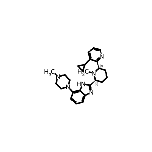 CN1CCN(c2cccc3nc([C@@H]4CCC[C@H](c5ncccc5C5CC5)N4C)[nH]c23)CC1